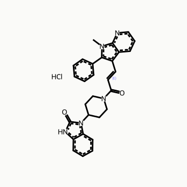 Cl.Cn1c(-c2ccccc2)c(/C=C/C(=O)N2CCC(n3c(=O)[nH]c4ccccc43)CC2)c2cccnc21